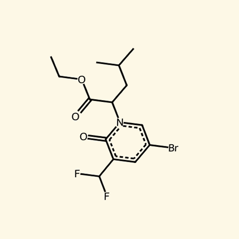 CCOC(=O)C(CC(C)C)n1cc(Br)cc(C(F)F)c1=O